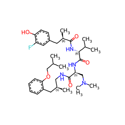 CC(C)COc1ccccc1C[C@H](C)CNC(=O)[C@H](CN(C)C)NC(=O)[C@H](NC(=O)[C@H](C)Cc1ccc(O)c(F)c1)C(C)C